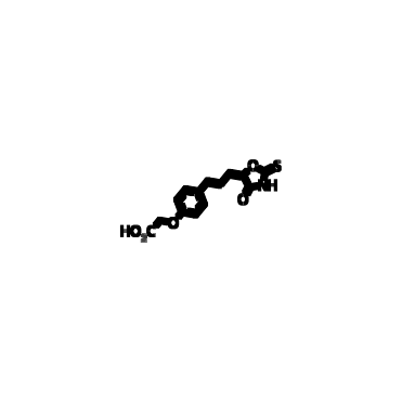 O=C(O)COc1ccc(C=CC=C2OC(=S)NC2=O)cc1